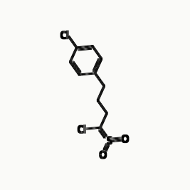 O=S(=O)=C(Cl)CCCc1ccc(Cl)cc1